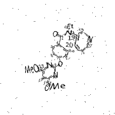 CCN(C(=O)c1ccc(Oc2nc(OC)cc(OC)n2)cc1)c1cccnc1